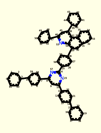 c1ccc(-c2ccc(-c3cc(-c4ccc(-c5ccccc5)cc4)nc(-c4ccc(-c5cc6ccccc6c6c(-c7ccccc7)cc(-c7ccccc7)nc56)cc4)n3)cc2)cc1